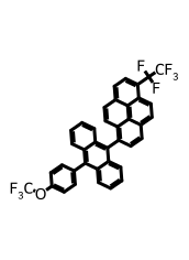 FC(F)(F)Oc1ccc(-c2c3ccccc3c(-c3ccc4ccc5c(C(F)(F)C(F)(F)F)ccc6ccc3c4c65)c3ccccc23)cc1